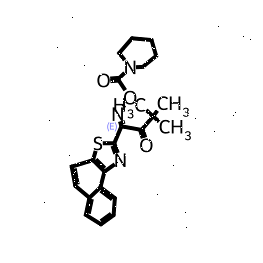 CC(C)(C)C(=O)/C(=N\OC(=O)N1CCCCC1)c1nc2c(ccc3ccccc32)s1